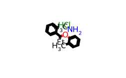 CCC(Oc1ccccc1C)c1ccccc1.CN.Cl